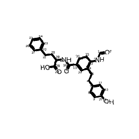 O=CNC1=C(CCc2ccc(O)cc2)C=C(C(=O)NC(CCc2ccccc2)C(=O)O)CC1